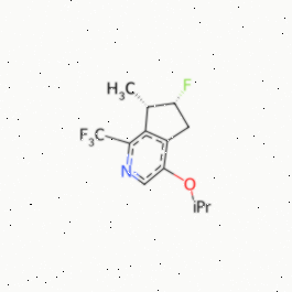 CC(C)Oc1cnc(C(F)(F)F)c2c1C[C@@H](F)[C@H]2C